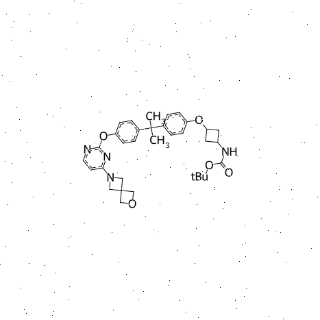 CC(C)(C)OC(=O)NC1CC(Oc2ccc(C(C)(C)c3ccc(Oc4nccc(N5CC6(COC6)C5)n4)cc3)cc2)C1